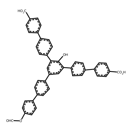 O=COc1ccc(-c2ccc(-c3cc(-c4ccc(-c5ccc(C(=O)O)cc5)cc4)c(O)c(-c4ccc(-c5ccc(C(=O)O)cc5)cc4)c3)cc2)cc1